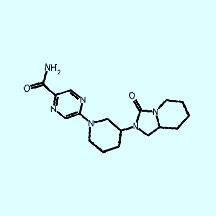 NC(=O)c1cnc(N2CCCC(N3CC4CCCCN4C3=O)C2)cn1